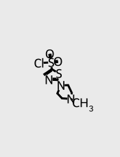 CN1CCN(c2ncc(S(=O)(=O)Cl)s2)CC1